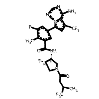 Cc1c(F)cc(-c2cc(C(F)(F)F)c3c(N)ncnn23)cc1C(=O)N[C@@H]1CN(C(=O)CC(C)C(F)(F)F)C[C@@H]1F